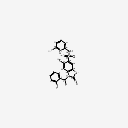 CC(c1ccccc1I)n1c(=O)oc2cc(S(=O)(=O)Nc3cccc(F)n3)c(F)cc21